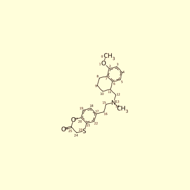 COc1cccc2c1CCCC2CN(C)CCc1ccc2c(c1)SCC(=O)O2